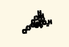 O=C(CC(NC1CC1)(C(=O)O)C1c2ccccc2N[C@@H]2CCC[C@H]12)C(=O)OCc1ccc(Cl)cc1